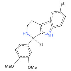 CCc1ccc2[nH]c3c(c2c1)CCNC3(CC)c1ccc(OC)c(OC)c1